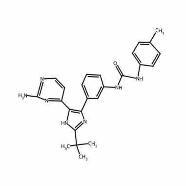 Cc1ccc(NC(=O)Nc2cccc(-c3nc(C(C)(C)C)[nH]c3-c3ccnc(N)n3)c2)cc1